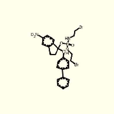 O=[N+]([O-])c1ccc2c(c1)CCC2(Oc1ccc(-c2ccccc2)cc1)OP(=O)(NCCBr)NCCBr